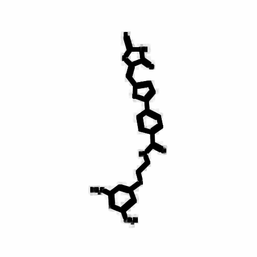 O=C1NC(=S)S/C1=C/c1ccc(-c2ccc(C(=O)NCCSc3cc(C(=O)O)nc(C(=O)O)c3)cc2)o1